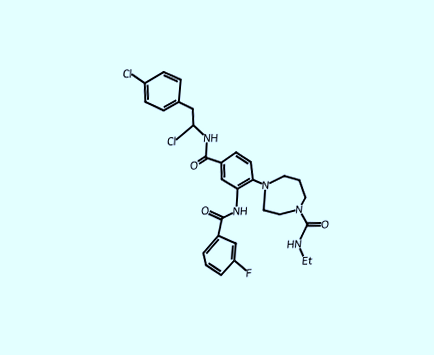 CCNC(=O)N1CCCN(c2ccc(C(=O)NC(Cl)Cc3ccc(Cl)cc3)cc2NC(=O)c2cccc(F)c2)CC1